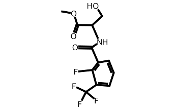 COC(=O)C(CO)NC(=O)c1cccc(C(F)(F)F)c1F